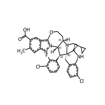 Cc1cc2nn3c(c2cc1C(=O)O)OCC[C@H]1[C@@H]3[C@H](c2cccc(Cl)c2F)[C@@]2(Cc3ccc(Cl)cc3NC2=O)N1CC1CC1